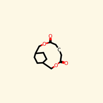 O=C1CCCC(=O)OCC2CCC(CC2)CO1